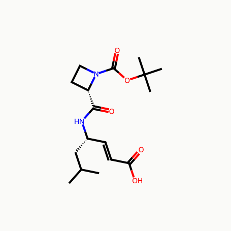 CC(C)C[C@@H](C=CC(=O)O)NC(=O)[C@@H]1CCN1C(=O)OC(C)(C)C